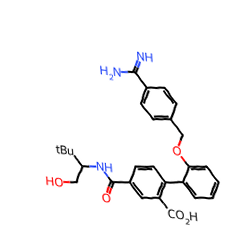 CC(C)(C)C(CO)NC(=O)c1ccc(-c2ccccc2OCc2ccc(C(=N)N)cc2)c(C(=O)O)c1